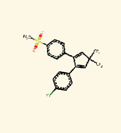 CS(=O)(=O)c1ccc(C2=CC(C(F)(F)F)(C(F)(F)F)C=C2c2ccc(Cl)cc2)cc1